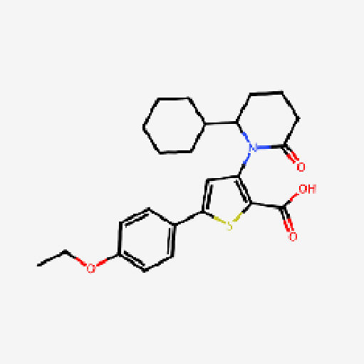 CCOc1ccc(-c2cc(N3C(=O)CCCC3C3CCCCC3)c(C(=O)O)s2)cc1